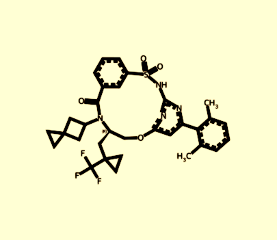 Cc1cccc(C)c1-c1cc2nc(n1)NS(=O)(=O)c1cccc(c1)C(=O)N(C1CC3(CC3)C1)[C@H](CC1(C(F)(F)F)CC1)CO2